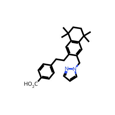 CC1(C)CCC(C)(C)c2cc(Cn3cccn3)c(CCc3ccc(C(=O)O)cc3)cc21